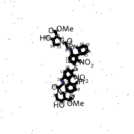 COC(=O)C1CN(C(=O)/C=C/c2ccc(Sc3ccc(/C=C/C(=O)N4CCC(O)C(C(=O)OC)C4)c(-c4ccccc4C(C)C)c3[N+](=O)[O-])c([N+](=O)[O-])c2-c2ccccc2C(C)C)CCC1O